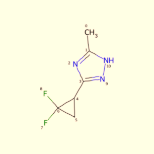 Cc1nc(C2CC2(F)F)n[nH]1